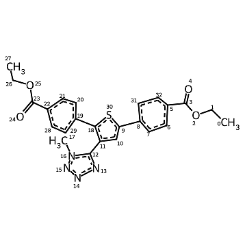 CCOC(=O)c1ccc(-c2cc(-c3nnnn3C)c(-c3ccc(C(=O)OCC)cc3)s2)cc1